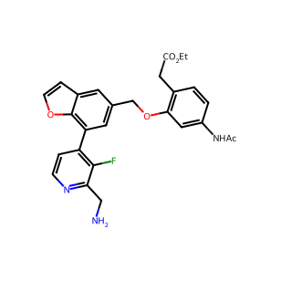 CCOC(=O)Cc1ccc(NC(C)=O)cc1OCc1cc(-c2ccnc(CN)c2F)c2occc2c1